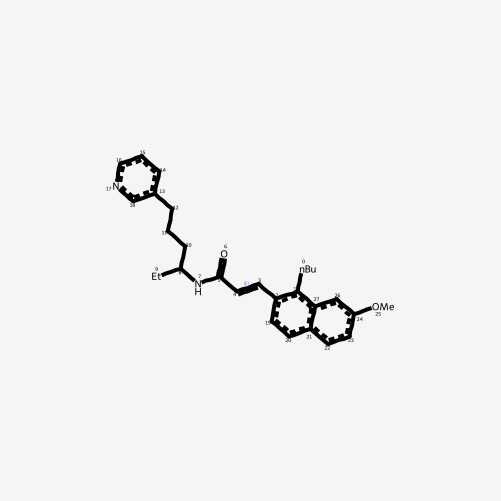 CCCCc1c(/C=C/C(=O)NC(CC)CCCc2cccnc2)ccc2ccc(OC)cc12